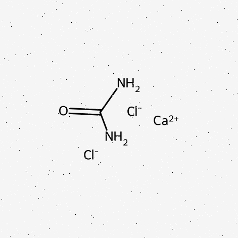 NC(N)=O.[Ca+2].[Cl-].[Cl-]